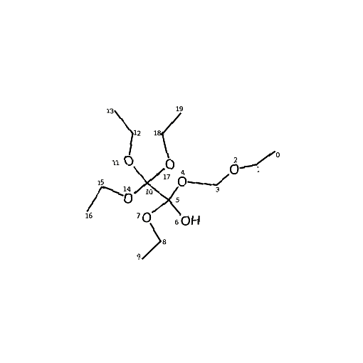 CCOCOC(O)(OCC)C(OCC)(OCC)OCC